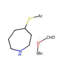 CC(=O)SC1CCCNCC1.CC(C)(C)OC=O